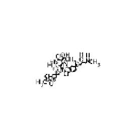 CNC[C@@H](O)COc1ccc(Cl)c(-c2nc(/C(C(C)=N)=C(\C)O)c(C)c(N3CC4(CN(C(=O)N(C)C)C4)C3)n2)c1